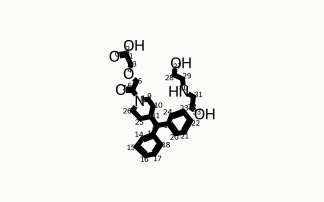 O=C(O)COCC(=O)N1CCC(C(c2ccccc2)c2ccccc2)CC1.OCCNCCO